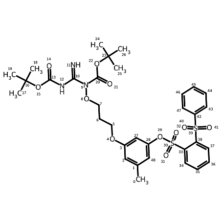 Cc1cc(OCCCON(C(=N)NC(=O)OC(C)(C)C)C(=O)OC(C)(C)C)cc(OS(=O)(=O)c2ccccc2S(=O)(=O)c2ccccc2)c1